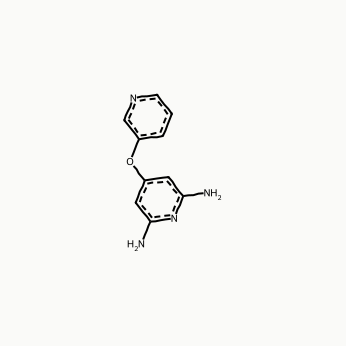 Nc1cc(Oc2cccnc2)cc(N)n1